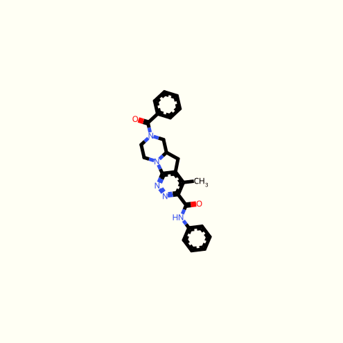 Cc1c(C(=O)Nc2ccccc2)nnc2c1CC1CN(C(=O)c3ccccc3)CCN21